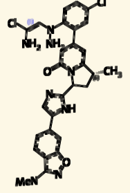 CNc1noc2cc(-c3cnc(C4C[C@@H](C)c5cc(-c6cc(Cl)ccc6N(N)/C=C(\N)Cl)cc(=O)n54)[nH]3)ccc12